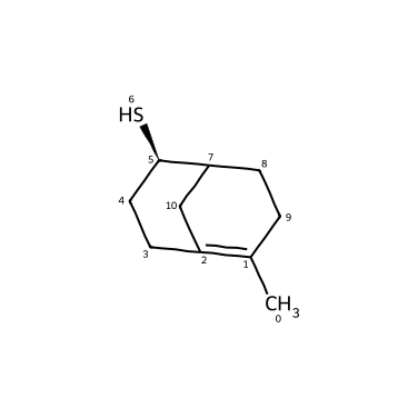 CC1=C2CC[C@@H](S)C(CC1)C2